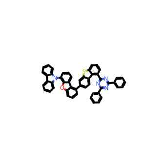 c1ccc(-c2nc(-c3ccccc3)nc(-c3cccc4sc5cc(-c6cccc7oc8c(-n9c%10ccccc%10c%10ccccc%109)cccc8c67)ccc5c34)n2)cc1